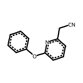 N#C[CH]c1cccc(Oc2ccccc2)n1